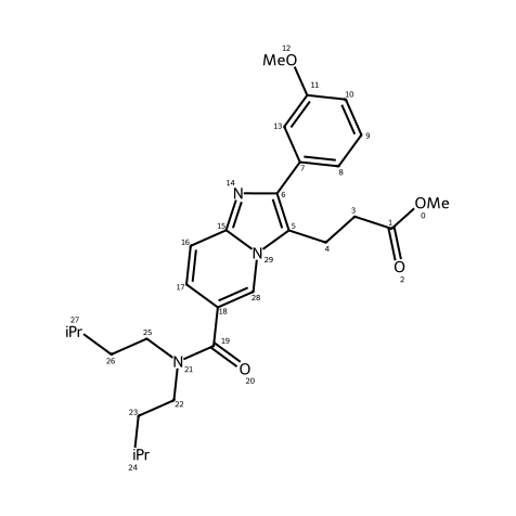 COC(=O)CCc1c(-c2cccc(OC)c2)nc2ccc(C(=O)N(CCC(C)C)CCC(C)C)cn12